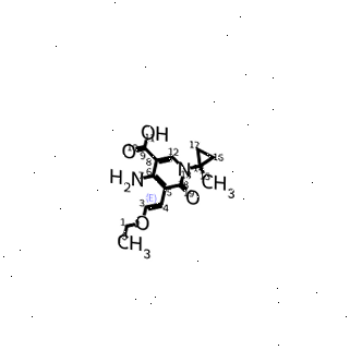 CCO/C=C/c1c(N)c(C(=O)O)cn(C2(C)CC2)c1=O